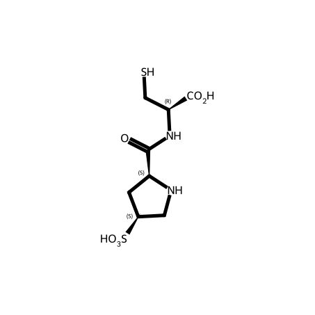 O=C(O)[C@H](CS)NC(=O)[C@@H]1C[C@H](S(=O)(=O)O)CN1